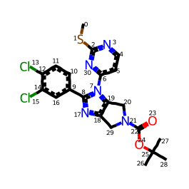 CSc1nccc(-n2c(-c3ccc(Cl)c(Cl)c3)nc3c2CN(C(=O)OC(C)(C)C)C3)n1